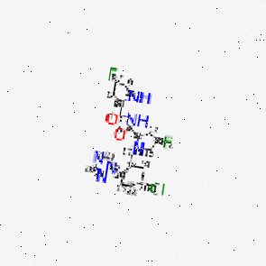 O=C(NC(=O)[C@H]1CC(F)CN1)C1C[C@@H](F)CN1Cc1cc(Cl)ccc1-n1cncn1